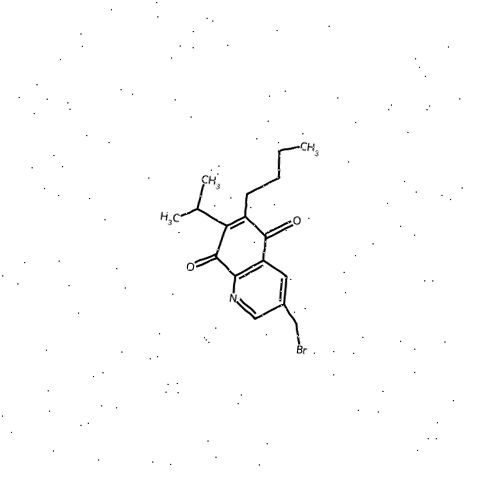 CCCCC1=C(C(C)C)C(=O)c2ncc(CBr)cc2C1=O